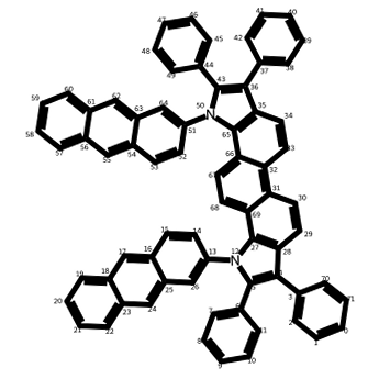 c1ccc(-c2c(-c3ccccc3)n(-c3ccc4cc5ccccc5cc4c3)c3c2ccc2c4ccc5c(-c6ccccc6)c(-c6ccccc6)n(-c6ccc7cc8ccccc8cc7c6)c5c4ccc23)cc1